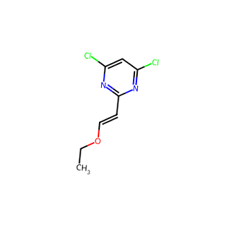 CCOC=Cc1nc(Cl)cc(Cl)n1